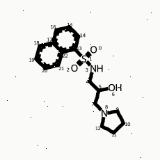 O=S(=O)(NCC(O)CN1CCCC1)c1cccc2ccccc12